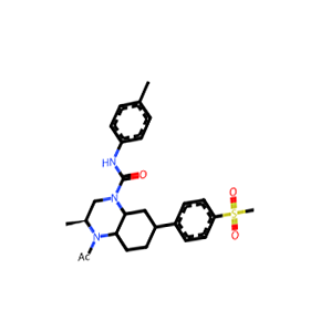 CC(=O)N1C2CCC(c3ccc(S(C)(=O)=O)cc3)CC2N(C(=O)Nc2ccc(C)cc2)C[C@@H]1C